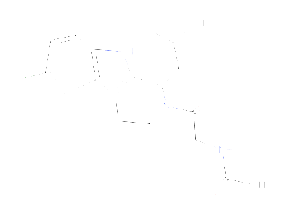 CC(=O)NCC(=O)N1CCc2c([nH]c3ccc(Cl)cc23)C1CC(C)C